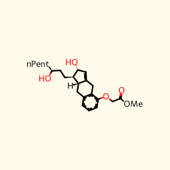 CCCCC[C@H](O)CC[C@H]1[C@H](O)C=C2Cc3c(cccc3OCC(=O)OC)C[C@@H]21